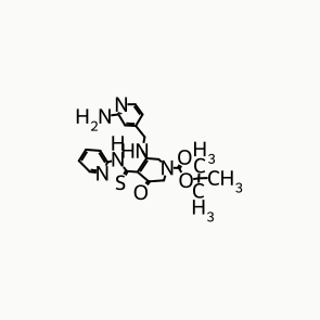 CC(C)(C)OC(=O)N1CC(=O)C(C(=S)Nc2ccccn2)=C(NCc2ccnc(N)c2)C1